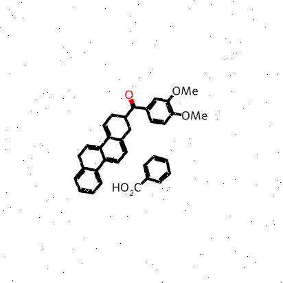 COc1ccc(C(=O)C2CC=c3c(ccc4c3=CCc3ccccc3-4)C2)cc1OC.O=C(O)c1ccccc1